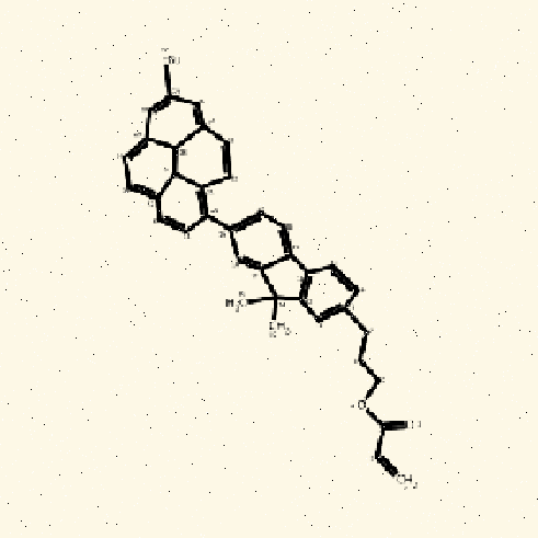 C=CC(=O)OCCCc1ccc2c(c1)C(C)(C)c1cc(C3=C4C=CC5=CC(C(C)(C)C)=CC6=CC=C(C=C3)C4C65)ccc1-2